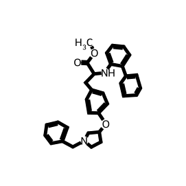 COC(=O)C(Cc1ccc(OC2CCN(Cc3ccccc3)C2)cc1)Nc1ccccc1-c1ccccc1